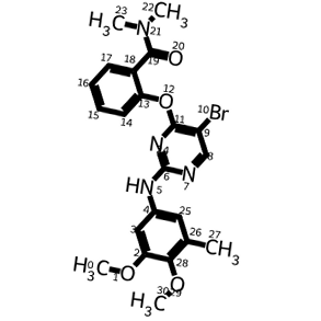 COc1cc(Nc2ncc(Br)c(Oc3ccccc3C(=O)N(C)C)n2)cc(C)c1OC